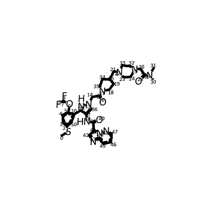 CSc1ccc(OC(F)F)c(C2NN(CC(=O)N3CCC(CN4CCN(CC(=O)N(C)C)CC4)CC3)C=C2NC(=O)c2cnc3cccnn23)c1